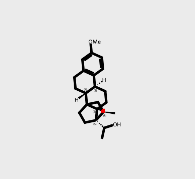 COc1ccc2c(c1)CC[C@@H]1[C@@H]2CC[C@@]2(C)C13CC[C@]2(C(C)O)[C@H](C)C3